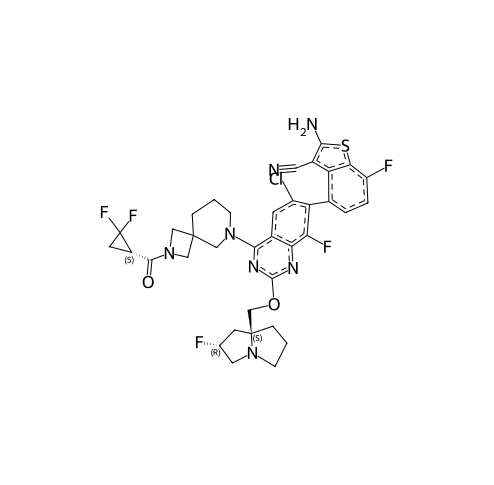 N#Cc1c(N)sc2c(F)ccc(-c3c(Cl)cc4c(N5CCCC6(CN(C(=O)[C@@H]7CC7(F)F)C6)C5)nc(OC[C@@]56CCCN5C[C@H](F)C6)nc4c3F)c12